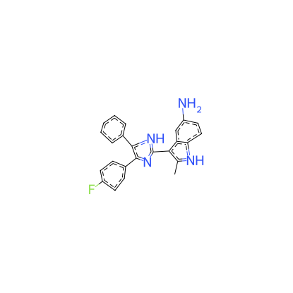 Cc1[nH]c2ccc(N)cc2c1-c1nc(-c2ccc(F)cc2)c(-c2ccccc2)[nH]1